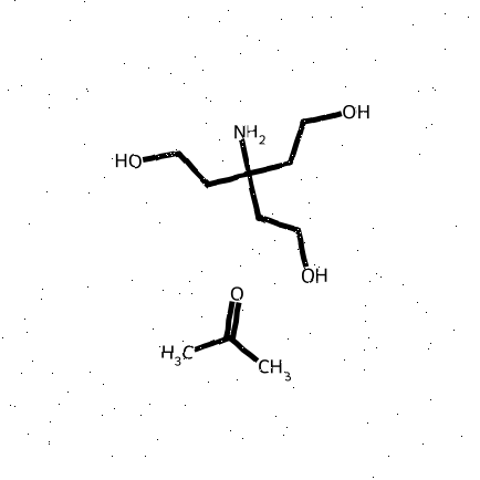 CC(C)=O.NC(CCO)(CCO)CCO